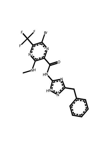 CNc1nc(C(F)(F)F)c(Br)nc1C(=O)Nc1nc(Cc2ccccc2)n[nH]1